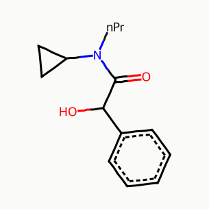 CCCN(C(=O)C(O)c1ccccc1)C1CC1